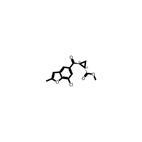 COC(=O)[C@H]1C[C@@H]1C(=O)c1cc(Cl)c2oc(C)cc2c1